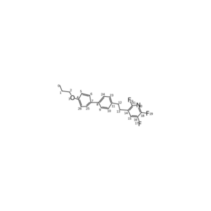 CCCOc1ccc(-c2ccc(CCc3cc(F)c(F)nc3F)cc2)cc1